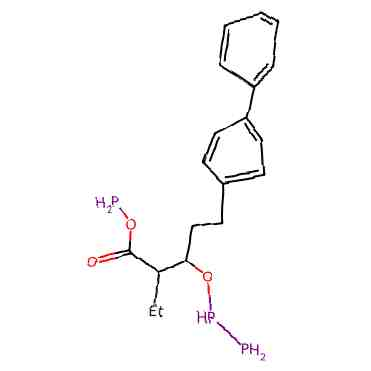 CCC(C(=O)OP)C(CCc1ccc(-c2ccccc2)cc1)OPP